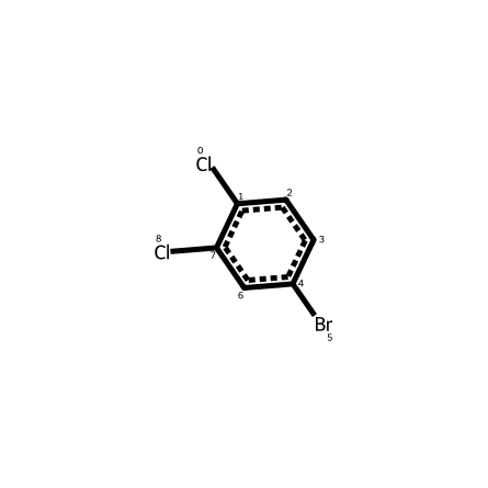 Clc1c[c]c(Br)cc1Cl